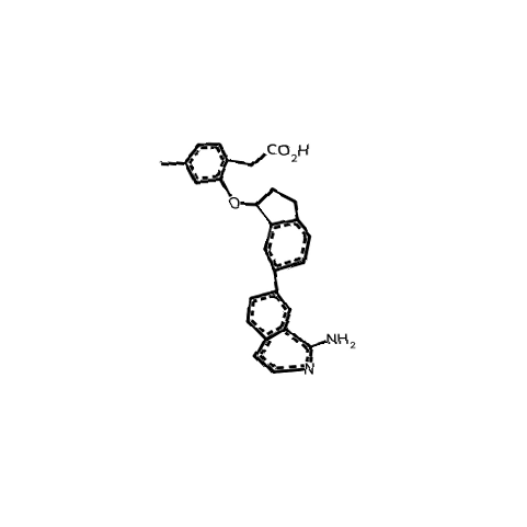 Cc1ccc(CC(=O)O)c(OC2CCc3ccc(-c4ccc5ccnc(N)c5c4)cc32)c1